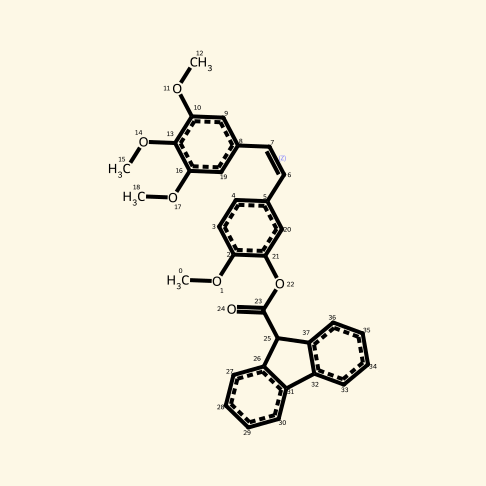 COc1ccc(/C=C\c2cc(OC)c(OC)c(OC)c2)cc1OC(=O)C1c2ccccc2-c2ccccc21